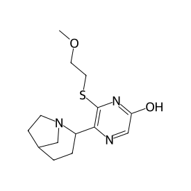 COCCSc1nc(O)cnc1C1CCC2CCN1C2